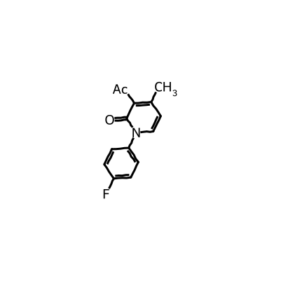 CC(=O)c1c(C)ccn(-c2ccc(F)cc2)c1=O